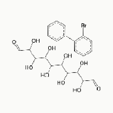 Brc1ccccc1-c1ccccc1.O=CC(O)C(O)C(O)C(O)C(O)C(O)C(O)C(O)C=O